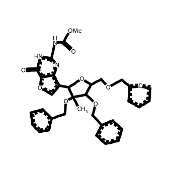 COC(=O)Nc1nc2c(C3OC(COCc4ccccc4)C(OCc4ccccc4)C3(C)OCc3ccccc3)coc2c(=O)[nH]1